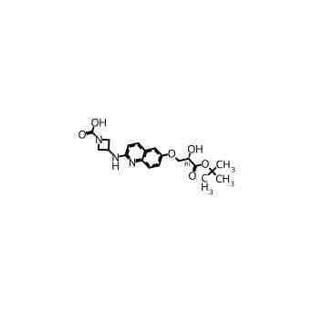 CC(C)(C)OC(=O)[C@H](O)COc1ccc2nc(NC3CN(C(=O)O)C3)ccc2c1